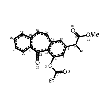 CCC(=O)Oc1cc(C(C)C(=O)OC)cc2ccc3ccccc3c(=O)c12